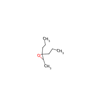 CCCC1(CCC)OC1C